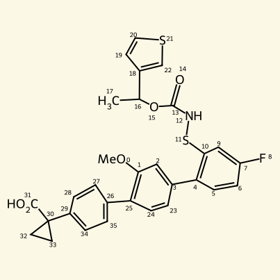 COc1cc(-c2ccc(F)cc2SNC(=O)OC(C)c2ccsc2)ccc1-c1ccc(C2(C(=O)O)CC2)cc1